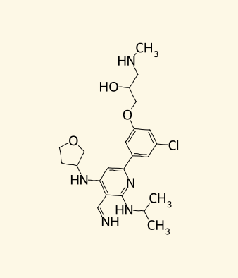 CNCC(O)COc1cc(Cl)cc(-c2cc(NC3CCOC3)c(C=N)c(NC(C)C)n2)c1